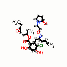 C=C[C@@H]1O[C@H]1C[C@@H](C)OC(=O)c1c(O)cc(O)c(Cl)c1CC(/C=C/C)=N\OCCN1CCCC1=O